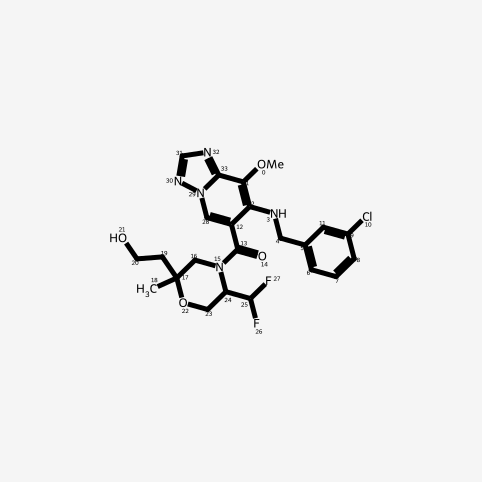 COc1c(NCc2cccc(Cl)c2)c(C(=O)N2CC(C)(CCO)OCC2C(F)F)cn2ncnc12